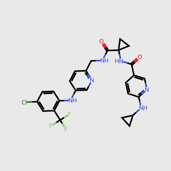 O=C(NC1(C(=O)NCc2ccc(Nc3ccc(Cl)cc3C(F)(F)F)cn2)CC1)c1ccc(NC2CC2)nc1